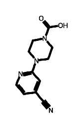 N#Cc1ccnc(N2CCN(C(=O)O)CC2)c1